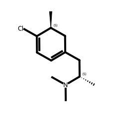 C[C@H]1CC(C[C@H](C)N(C)C)=CC=C1Cl